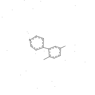 Cc1ccc(C)c(-c2c[c]ncc2)c1